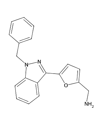 NCc1ccc(-c2nn(Cc3ccccc3)c3ccccc23)o1